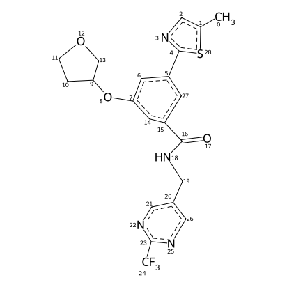 Cc1cnc(-c2cc(OC3CCOC3)cc(C(=O)NCc3cnc(C(F)(F)F)nc3)c2)s1